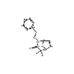 CC1(C)C(=O)N(OCc2ccccc2)C2C=CC1O2